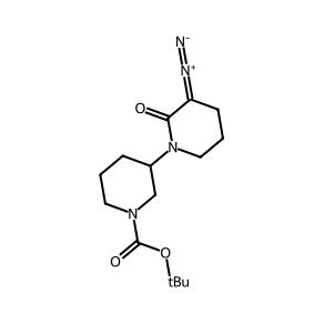 CC(C)(C)OC(=O)N1CCCC(N2CCCC(=[N+]=[N-])C2=O)C1